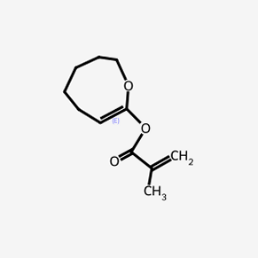 C=C(C)C(=O)O/C1=C/CCCCCO1